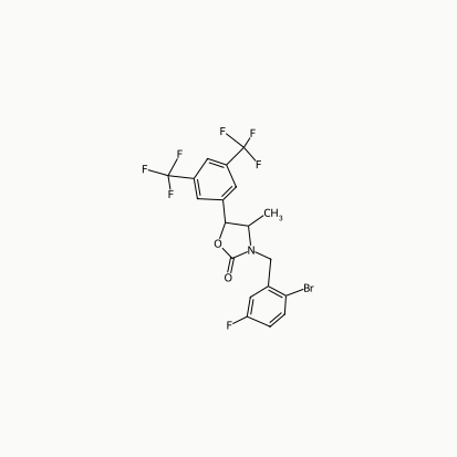 CC1C(c2cc(C(F)(F)F)cc(C(F)(F)F)c2)OC(=O)N1Cc1cc(F)ccc1Br